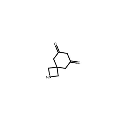 O=C1CC(=O)CC2(CNC2)C1